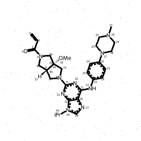 C=CC(=O)N1C[C@H]2CN(c3nc(Nc4ccc(N5CCN(C)CC5)cc4)c4ncn(C(C)C)c4n3)C[C@]2(OC)C1